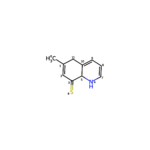 CC1=CC(=S)C2NC=CC=C2C1